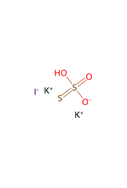 O=S([O-])(O)=S.[I-].[K+].[K+]